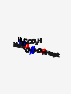 CCCCCCCOc1ccc(-c2cnc(-c3ccc(C[C@H](NC)C(=O)N[C@H](C)CC(=O)O)cc3)nc2)cc1